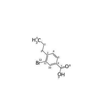 CCCc1ccc(C(=O)O)cc1Br